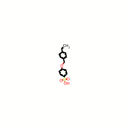 C=Cc1ccc(COc2ccc(S(=O)(=O)O)cc2)cc1